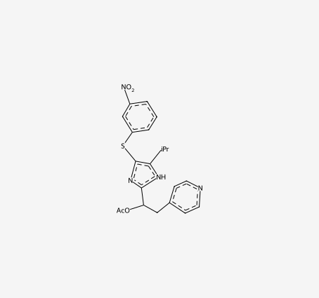 CC(=O)OC(Cc1ccncc1)c1nc(Sc2cccc([N+](=O)[O-])c2)c(C(C)C)[nH]1